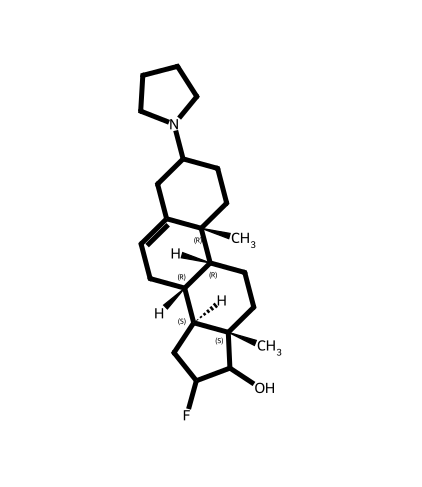 C[C@]12CCC(N3CCCC3)CC1=CC[C@@H]1[C@H]2CC[C@]2(C)C(O)C(F)C[C@@H]12